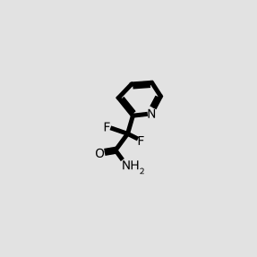 NC(=O)C(F)(F)c1ccccn1